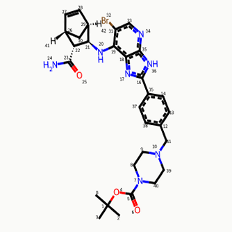 CC(C)(C)OC(=O)N1CCN(Cc2ccc(-c3nc4c(N[C@H]5[C@H](C(N)=O)[C@@H]6C=C[C@@H]5C6)c(Br)cnc4[nH]3)cc2)CC1